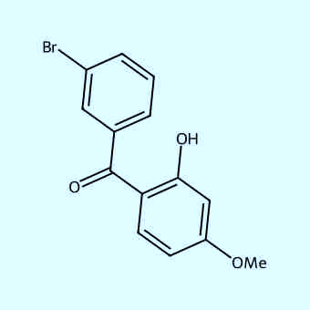 COc1ccc(C(=O)c2cccc(Br)c2)c(O)c1